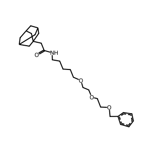 O=C(CC12CC3CC(CC(C3)C1)C2)NCCCCCOCCOCCOCc1ccccc1